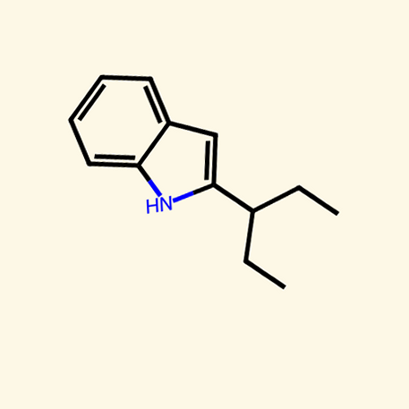 CCC(CC)c1cc2ccccc2[nH]1